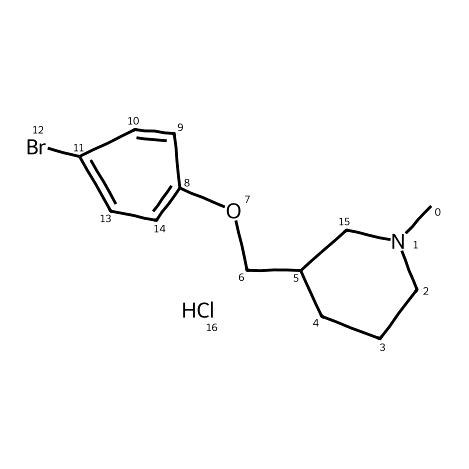 CN1CCCC(COc2ccc(Br)cc2)C1.Cl